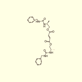 C[C@@H](COC(=O)/C=C/C(=O)OC[C@H](C)NC(=O)NCc1ccccc1)NC(=O)NCc1ccccc1